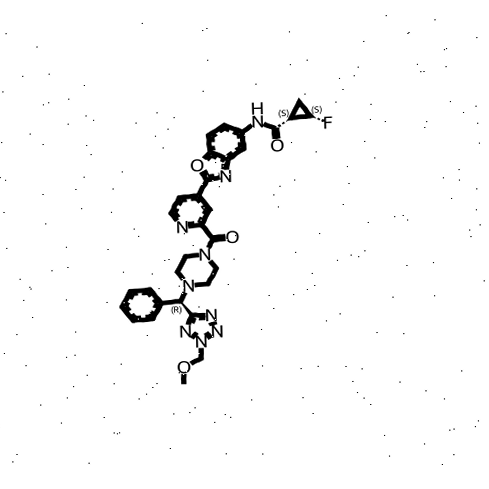 COCn1nnc([C@@H](c2ccccc2)N2CCN(C(=O)c3cc(-c4nc5cc(NC(=O)[C@@H]6C[C@@H]6F)ccc5o4)ccn3)CC2)n1